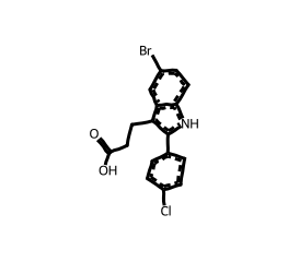 O=C(O)CCc1c(-c2ccc(Cl)cc2)[nH]c2ccc(Br)cc12